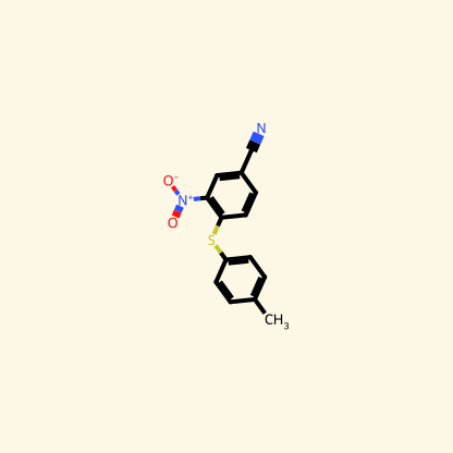 Cc1ccc(Sc2ccc(C#N)cc2[N+](=O)[O-])cc1